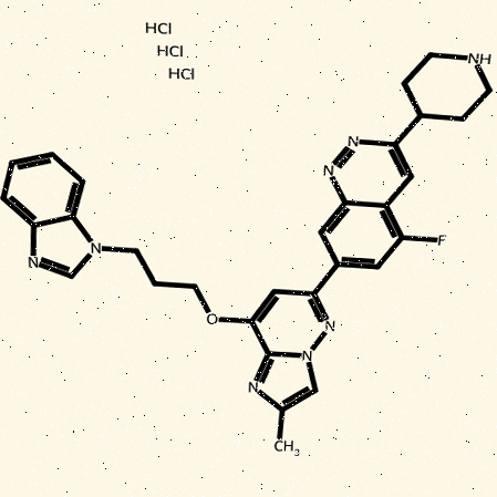 Cc1cn2nc(-c3cc(F)c4cc(C5CCNCC5)nnc4c3)cc(OCCCn3cnc4ccccc43)c2n1.Cl.Cl.Cl